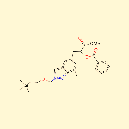 COC(=O)C(Cc1cc(C)c2nn(COCC[Si](C)(C)C)cc2c1)OC(=O)c1ccccc1